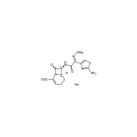 CON=C(C(=O)N[C@@H]1C(=O)N2C(C(=O)[O-])=CCS[C@H]12)c1csc(N)n1.[Na+]